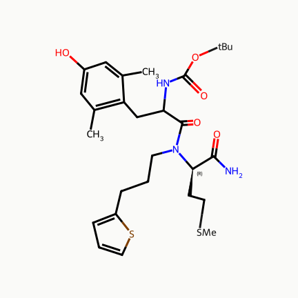 CSCC[C@H](C(N)=O)N(CCCc1cccs1)C(=O)C(Cc1c(C)cc(O)cc1C)NC(=O)OC(C)(C)C